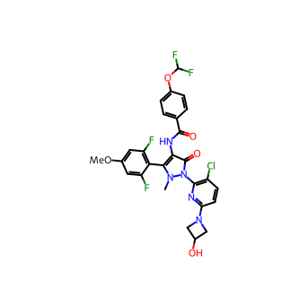 COc1cc(F)c(-c2c(NC(=O)c3ccc(OC(F)F)cc3)c(=O)n(-c3nc(N4CC(O)C4)ccc3Cl)n2C)c(F)c1